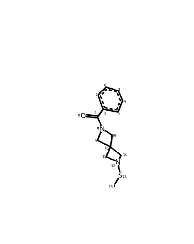 O=C(c1ccccc1)N1CC2(CN(SI)C2)C1